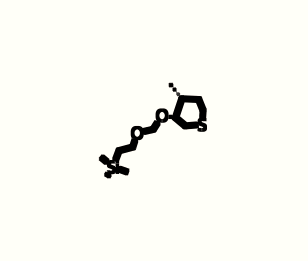 C[C@@H]1CCSC[C@@H]1OCOCC[Si](C)(C)C